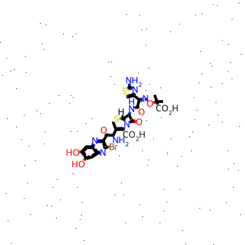 CC(C)(O/N=C(\C(=O)NC1C(=O)N2C(C(=O)O)=C(C(N)C(=O)c3nc4cc(O)c(O)cc4nc3Br)CS[C@H]12)c1csc(N)n1)C(=O)O